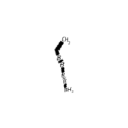 BB=BB=BC=C